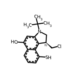 CC(C)(C)N1C[C@@H](CCl)c2c1cc(O)c1cccc(S)c21